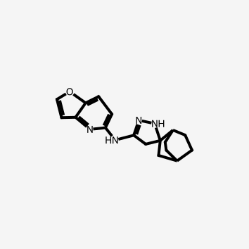 c1cc2nc(NC3=NNC4(C3)CC3CCC4CC3)ccc2o1